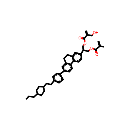 C=C(C)C(=O)OCC(COC(=O)C(=C)CO)c1ccc2c(c1)CCc1cc(-c3ccc(CCC4CCC(CCC)CC4)cc3)ccc1-2